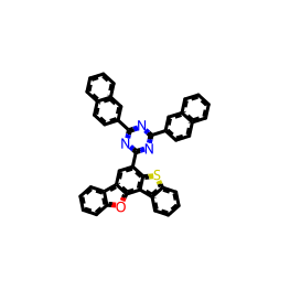 c1ccc2cc(-c3nc(-c4ccc5ccccc5c4)nc(-c4cc5c6ccccc6oc5c5c4sc4ccccc45)n3)ccc2c1